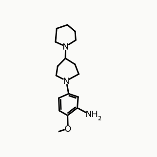 COc1ccc(N2CCC(N3CCCCC3)CC2)cc1N